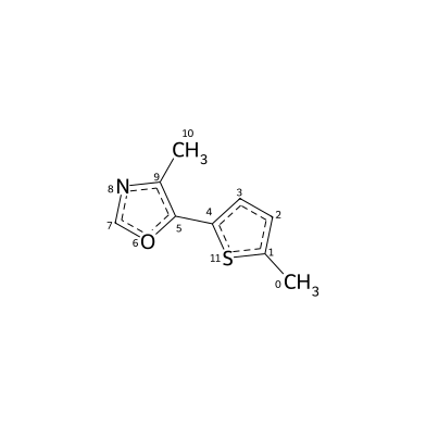 Cc1ccc(-c2ocnc2C)s1